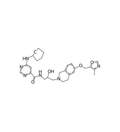 Cc1ncoc1COc1ccc2c(c1)CCN(CC(O)CNC(=O)c1cc(NC3CCCCC3)ncn1)C2